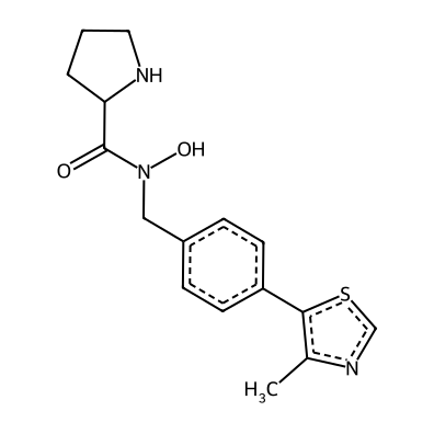 Cc1ncsc1-c1ccc(CN(O)C(=O)C2CCCN2)cc1